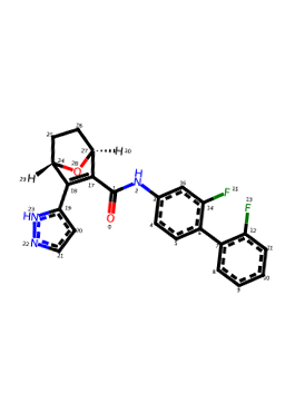 O=C(Nc1ccc(-c2ccccc2F)c(F)c1)C1=C(c2ccn[nH]2)[C@@H]2CC[C@@H]1O2